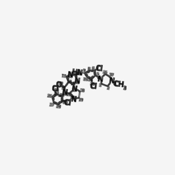 CN1CCN(c2c(Cl)cc(Nc3ncc4c(n3)N3CCN=C3N(c3c(Cl)cccc3Cl)C4=O)cc2Cl)CC1